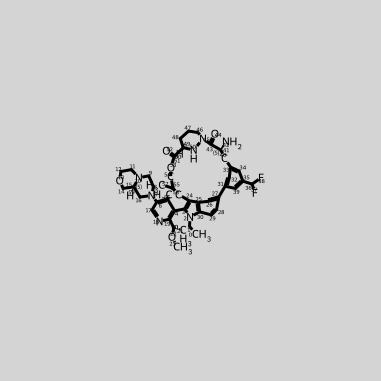 CCn1c(-c2cc(N3CCN4CCOC[C@@H]4C3)cnc2[C@H](C)OC)c2c3cc(ccc31)-c1cc(cc(C(F)F)c1)C[C@H](N)C(=O)N1CCC[C@H](N1)C(=O)OCC(C)(C)C2